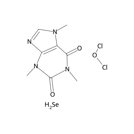 ClOCl.Cn1c(=O)c2c(ncn2C)n(C)c1=O.[SeH2]